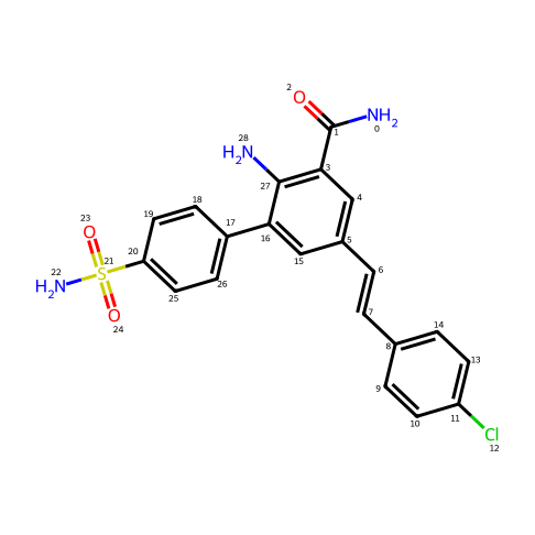 NC(=O)c1cc(C=Cc2ccc(Cl)cc2)cc(-c2ccc(S(N)(=O)=O)cc2)c1N